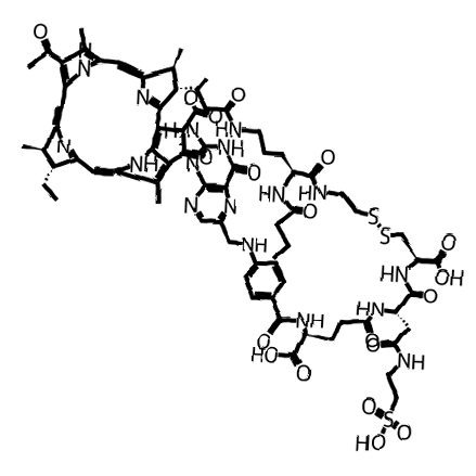 CCCC(=O)N[C@@H](CCCNC(=O)CC[C@@H]1c2nc(cc3[nH]c(cc4nc(cc5[nH]c6c(c5C)C(=O)C(C(=O)OC)c26)[C@H](CC)[C@H]4C)c(C(C)=O)c3C)[C@H]1C)C(=O)NCCSSC[C@H](NC(=O)[C@H](CC(=O)NCCS(=O)(=O)O)NC(=O)CC[C@H](NC(=O)c1ccc(NCc2cnc3nc(N)[nH]c(=O)c3n2)cc1)C(=O)O)C(=O)O